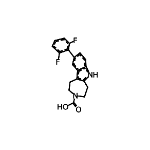 O=C(O)N1CCc2[nH]c3ccc(-c4c(F)cccc4F)cc3c2CC1